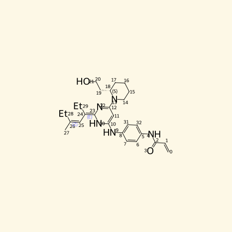 C=CC(=O)Nc1ccc(NC2=CC(N3CCCC[C@H]3CCO)=N/C(=C(/C=C(/C)CC)CC)N2)cc1